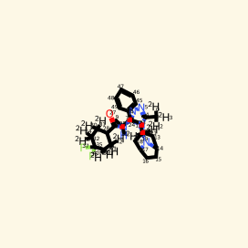 [2H]C([2H])([2H])c1nnc(C(C)C)n1C1CC2CCC(C1)N2C([2H])([2H])CC(NC(=O)C1C([2H])([2H])C([2H])([2H])C(F)(F)C([2H])([2H])C1([2H])[2H])c1ccccc1